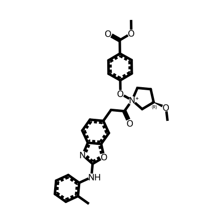 COC(=O)c1ccc(O[N+]2(C(=O)Cc3ccc4nc(Nc5ccccc5C)oc4c3)CC[C@@H](OC)C2)cc1